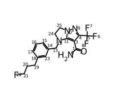 NC(=O)c1c(C(F)(F)F)nn2c1N(Cc1cccc(CCCF)c1)CC2